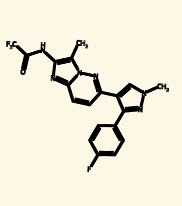 Cc1c(NC(=O)C(F)(F)F)nc2ccc(-c3cn(C)nc3-c3ccc(F)cc3)nn12